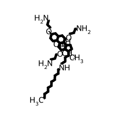 CCCCCCCCCCCNCCCC(C)C1CC[C@H]2C3[C@H](OCCCN)CC4C[C@H](OCCCN)CC[C@]4(C)[C@H]3C[C@H](OCCCN)[C@]12C